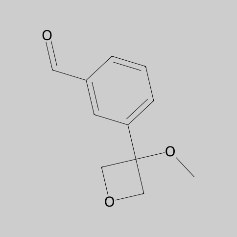 COC1(c2cccc(C=O)c2)COC1